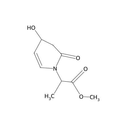 COC(=O)C(C)N1C=CC(O)CC1=O